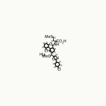 COC(c1ccc(C(=O)NC(CCSC)C(=O)O)c(-c2ccccc2C)c1)c1cnc(-c2ccc(Cl)cc2)o1.[LiH]